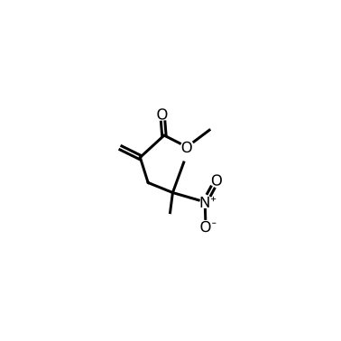 C=C(CC(C)(C)[N+](=O)[O-])C(=O)OC